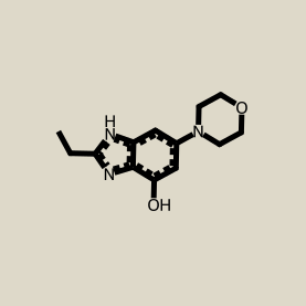 CCc1nc2c(O)cc(N3CCOCC3)cc2[nH]1